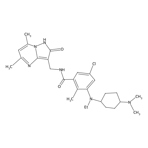 CCN(c1cc(Cl)cc(C(=O)NCc2c(=O)[nH]n3c(C)cc(C)nc23)c1C)C1CCC(N(C)C)CC1